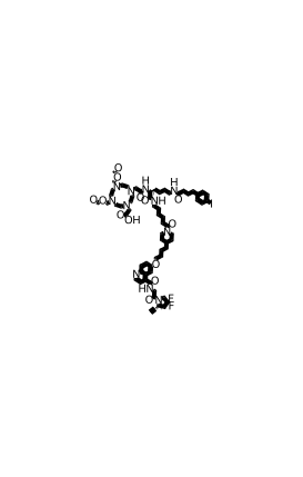 C#C[C@H]1CC(F)(F)CN1C(=O)CNC(=O)c1ccnc2ccc(OCCCCC3CCN(C(=O)CCCCCNC(=O)[C@H](CCCCNC(=O)CCCc4ccc(I)cc4)NC(=O)CN4CCN(COC=O)CCN(COC=O)CCN(CC(=O)O)CC4)CC3)cc12